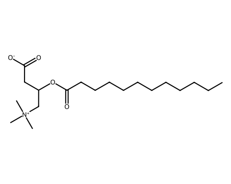 CCCCCCCCCCCC(=O)OC(CC(=O)[O-])C[N+](C)(C)C